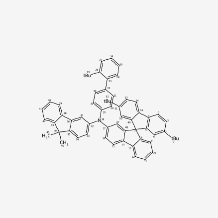 CC(C)(C)c1ccc2c(c1)C1(c3ccccc3-c3ccc(N(c4ccc(-c5ccccc5C(C)(C)C)cc4)c4ccc5c(c4)-c4ccccc4C5(C)C)cc31)c1cc(C(C)(C)C)ccc1-2